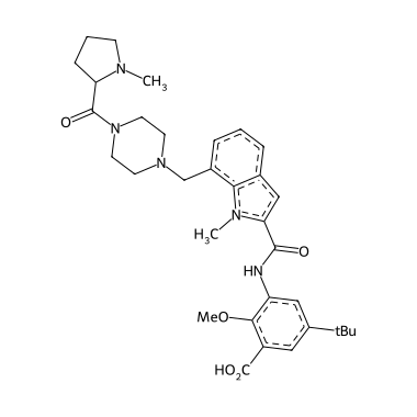 COc1c(NC(=O)c2cc3cccc(CN4CCN(C(=O)C5CCCN5C)CC4)c3n2C)cc(C(C)(C)C)cc1C(=O)O